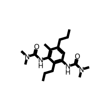 CCCc1cc(NC(=O)N(C)C)c(CCC)c(NC(=O)N(C)C)c1C